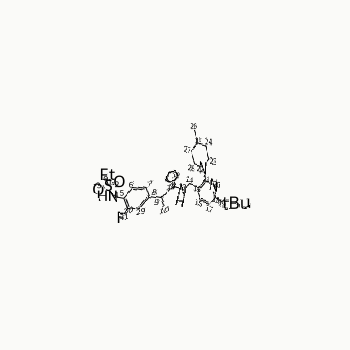 CCS(=O)(=O)Nc1ccc(C(C)C(=O)NCc2ccc(C(C)(C)C)nc2N2CCC(C)CC2)cc1F